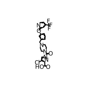 O=C(O)c1nn(C(=O)N2CCN(Cc3cccc(Oc4cc(C(F)(F)F)ccn4)c3)CC2)cc1Cl